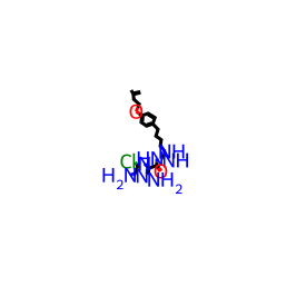 C=C(C)CCOc1ccc(CCCCNC(=N)NC(=O)c2nc(Cl)c(N)nc2N)cc1